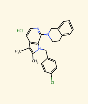 Cc1c(C)n(Cc2ccc(Cl)cc2)c2c(N3CCc4ccccc4C3)nccc12.Cl